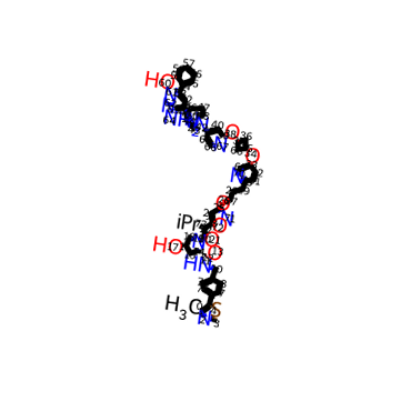 Cc1ncsc1-c1ccc(CNC(=O)[C@@H]2C[C@@H](O)CN2C(=O)C(c2cc(OCCCc3ccc(O[C@H]4C[C@H](Oc5cc(N6CC7CCCC6CN7c6cc(-c7ccccc7O)nnc6N)ccn5)C4)cn3)no2)C(C)C)cc1